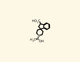 CB(O)N1CCC2(CC1)CC(C(=O)O)c1ccccc12